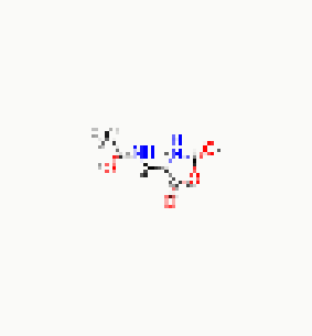 O=C1N[C@H](CNC(=O)C(F)(F)F)C(=O)O1